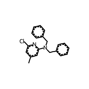 Cc1cc(Cl)nc(N(Cc2ccccc2)Cc2ccccc2)c1